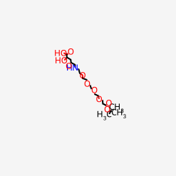 CC(C)(C)OC(=O)CCOCCOCCOCCOCCNCC(=O)CC(O)C(=O)O